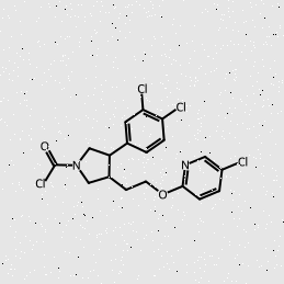 O=C(Cl)N1CC(CCOc2ccc(Cl)cn2)C(c2ccc(Cl)c(Cl)c2)C1